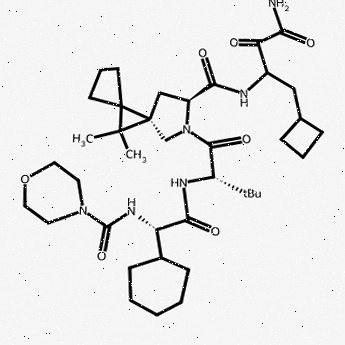 CC(C)(C)[C@H](NC(=O)[C@@H](NC(=O)N1CCOCC1)C1CCCCC1)C(=O)N1C[C@]2(C[C@H]1C(=O)NC(CC1CCC1)C(=O)C(N)=O)C(C)(C)C21CCC1